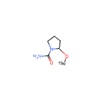 CC(C)(C)OC1CCCN1C(N)=O